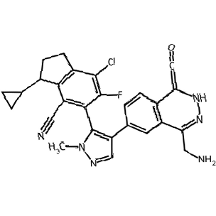 Cn1ncc(-c2ccc3c(c2)C(CN)=NNC3=C=O)c1-c1c(F)c(Cl)c2c(c1C#N)C(C1CC1)CC2